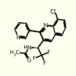 CC(=O)N[C@@H](c1cc2cccc(Cl)c2nc1-c1cccnc1)C(F)(F)F